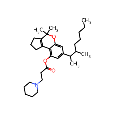 CCCCCC(C)C(C)c1cc(OC(=O)CCN2CCCCC2)c2c(c1)OC(C)(C)C1=C2CCC1